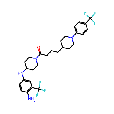 Nc1ccc(NC2CCN(C(=O)CCCC3CCN(c4ccc(C(F)(F)F)cc4)CC3)CC2)cc1C(F)(F)F